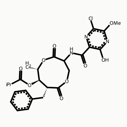 COc1nc(O)c(C(=O)NC2COC(=O)[C@H](Cc3ccccc3)[C@@H](OC(=O)C(C)C)[C@H](C)OC2=O)nc1Cl